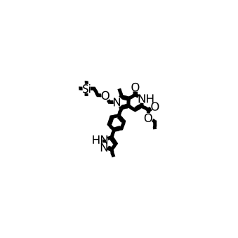 CCOC(=O)c1cc2c(-c3ccc(-c4cc(C)n[nH]4)cc3)n(COCC[Si](C)(C)C)c(C)c2c(=O)[nH]1